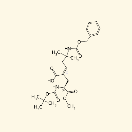 COC(=O)[C@H](C/C(=C/CC(C)(C)NC(=O)OCc1ccccc1)C(=O)O)NC(=O)OC(C)(C)C